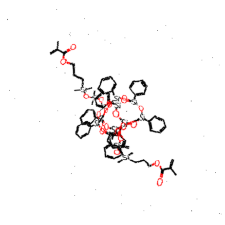 C=C(C)C(=O)OCCC[Si](C)(C)O[Si](C)(C)O[Si]1(C)O[Si]2(c3ccccc3)O[Si]3(c4ccccc4)O[Si]4(c5ccccc5)O[Si](C)(O[Si](C)(C)O[Si](C)(C)CCCOC(=O)C(=C)C)O[Si]5(c6ccccc6)O[Si](c6ccccc6)(O[Si](c6ccccc6)(O1)O[Si](c1ccccc1)(O5)O[Si](c1ccccc1)(O2)O4)O3